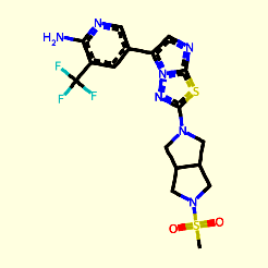 CS(=O)(=O)N1CC2CN(c3nn4c(-c5cnc(N)c(C(F)(F)F)c5)cnc4s3)CC2C1